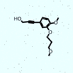 COCCCOc1cc(C#CCO)ccc1OC